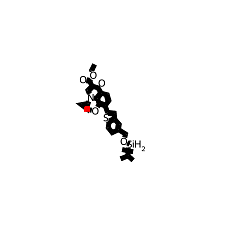 CCOC(=O)c1cn(C2CC2)c2c(OC)c(-c3cc4c(s3)CCC(CO[SiH2]C(C)(C)C(C)C)=C4)ccc2c1=O